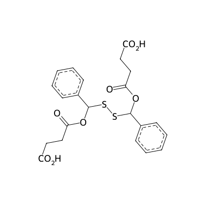 O=C(O)CCC(=O)OC(SSC(OC(=O)CCC(=O)O)c1ccccc1)c1ccccc1